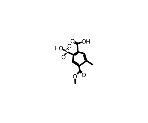 COC(=O)c1cc(S(=O)(=O)O)c(C(=O)O)cc1C